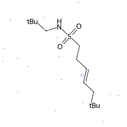 CC(C)(C)C/C=C/CCS(=O)(=O)NCC(C)(C)C